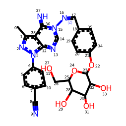 Cc1nn(-c2ccc(C#N)cc2)c2ncn(/N=C\c3ccc(OC4OC(CO)C(O)C(O)C4O)cc3)c(=N)c12